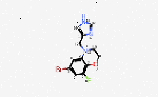 Fc1cc(Br)cc2c1OCCN2Cc1c[nH]cn1